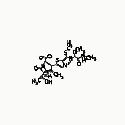 CNC(=O)C(OC)n1c[n+]2cc(C3=C(C(=O)[O-])N4C(=O)[C@H]([C@@H](C)O)[C@H]4[C@H]3C)sc2c1SC